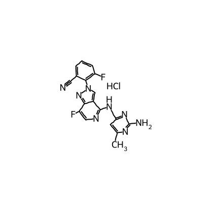 Cc1cc(Nc2ncc(F)c3nn(-c4c(F)cccc4C#N)cc23)nc(N)n1.Cl